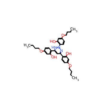 CCCCOc1ccc(C2=CC(c3ccc(OCCCC)cc3O)=NN(c3ccc(OCCCC)cc3O)N2)c(O)c1